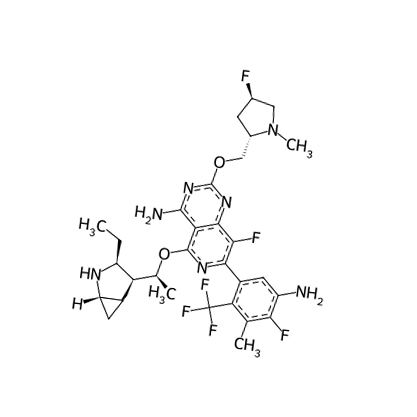 CC[C@@H]1N[C@H]2CC2[C@@H]1[C@H](C)Oc1nc(-c2cc(N)c(F)c(C)c2C(F)(F)F)c(F)c2nc(OC[C@@H]3C[C@@H](F)CN3C)nc(N)c12